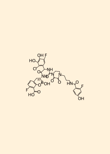 O=C(NCCCN1CCN(C(=O)NC(C(=O)N[C@H]2Cc3ccc(F)c(C(=O)O)c3OB2O)c2cc(F)c(O)c(O)c2Cl)C(=O)C1=O)c1ccc(O)cc1F